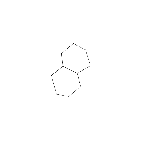 [CH]1CCC2CC[CH]CC2C1